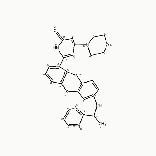 CC(Nc1ccc2c(c1)Sc1cccc(-c3cc(N4CCOCC4)cc(=O)[nH]3)c1S2)c1ncccn1